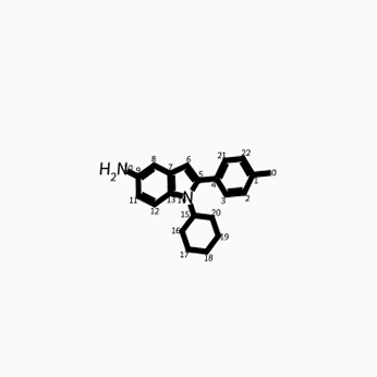 Cc1ccc(-c2cc3cc(N)ccc3n2C2CCCCC2)cc1